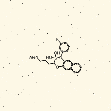 CNCCCC1Oc2cc3ccccc3cc2N(c2cccc(F)c2)S1(O)O